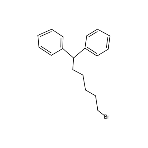 BrCCCCCC(c1ccccc1)c1ccccc1